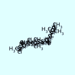 Cc1cc2c(C)c3sc(-c4ccc(-c5ccc(-c6ccc(-c7cc8c(C)c9sc(-c%10sc(-c%11ccc(-c%12cc(Cl)c(C)s%12)c%12nsnc%11%12)cc%10Cl)cc9c(C)c8s7)s6)c6nsnc56)s4)cc3c(C)c2s1